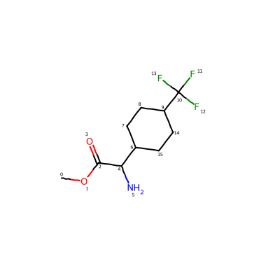 COC(=O)C(N)C1CCC(C(F)(F)F)CC1